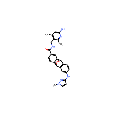 Cc1cc(N)nc(C)c1CNC(=O)c1ccc2c(c1)c1oc2c2cc(Nc3ccn(C)n3)ccc21